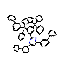 c1ccc(-c2cccc(-c3cc(-c4cccc(-c5ccccc5)c4)nc(-c4cc([Si](c5ccccc5)(c5ccccc5)c5ccccc5)cc([Si](c5ccccc5)(c5ccccc5)c5cccc(-c6ccccc6)c5)c4)n3)c2)cc1